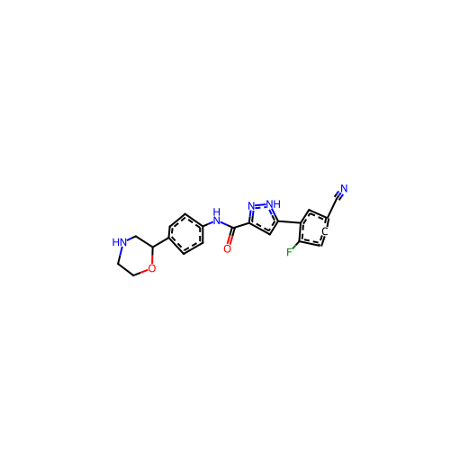 N#Cc1ccc(F)c(-c2cc(C(=O)Nc3ccc(C4CNCCO4)cc3)n[nH]2)c1